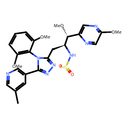 COc1cnc([C@@H](OC)[C@H](Cc2nnc(-c3cncc(C)c3)n2-c2c(OC)cccc2OC)N[SH](=O)=O)cn1